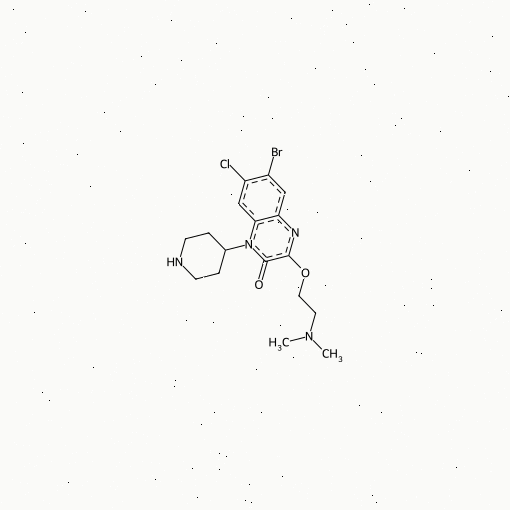 CN(C)CCOc1nc2cc(Br)c(Cl)cc2n(C2CCNCC2)c1=O